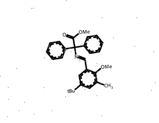 COC(=O)C(/N=C/c1cc(C(C)(C)C)cc(C)c1OC)(c1ccccc1)c1ccccc1